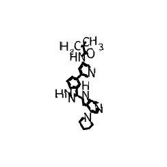 CC(C)C(=O)Nc1cncc(-c2ccc3[nH]nc(-c4cc5c(N6CCCCC6)cncc5[nH]4)c3c2)c1